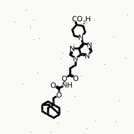 O=C(CCn1cnc2c(N3CCC(C(=O)O)CC3)ncnc21)ONC(=O)OCC12CC3CC(CC(C3)C1)C2